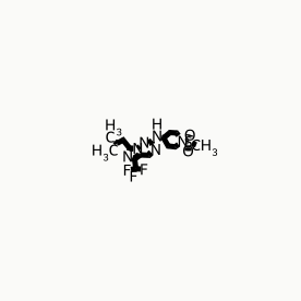 CC(C)Cc1nc(C(F)(F)F)c2cnc(NC3CCN(S(C)(=O)=O)CC3)nn12